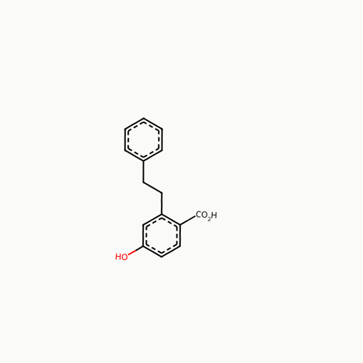 O=C(O)c1ccc(O)cc1CCc1ccccc1